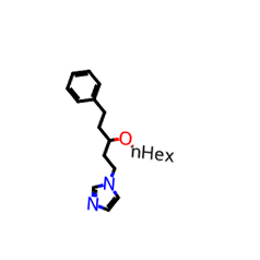 CCCCCCOC(CCc1ccccc1)CCn1ccnc1